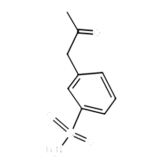 CC(=O)Cc1cccc(S(N)(=O)=O)c1